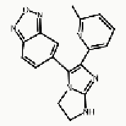 Cc1cccc(-c2nc3n(c2-c2ccc4nonc4c2)CCN3)n1